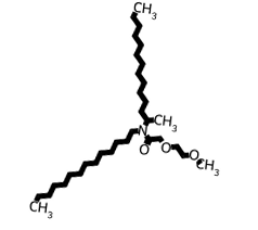 CCCCCCCCCCCCCCN(C(=O)COCCOC)C(C)CCCCCCCCCCCC